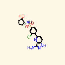 Nc1n[nH]c2ccc(-c3ccc(S(=O)(=O)N[C@@H]4CCC[C@H]4O)cc3Cl)nc12